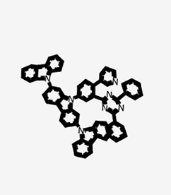 c1ccc(-c2nc(-c3ccccc3)nc(-c3cc(-n4c5cc(-n6c7ccccc7c7ccccc76)ccc5c5ccc(-n6c7ccccc7c7ccccc76)cc54)ccc3-c3cccnc3)n2)cc1